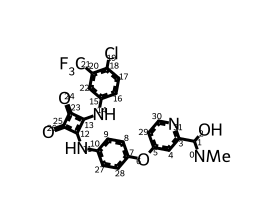 CNC(O)c1cc(Oc2ccc(Nc3c(Nc4ccc(Cl)c(C(F)(F)F)c4)c(=O)c3=O)cc2)ccn1